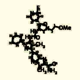 COCCN1C[C@@H](NC(=O)Nc2c(C)c(-c3cnc4c(c3)nc(C(N)=O)n4C)nn2-c2ccccc2)[C@H](c2ccnc(F)c2)O1